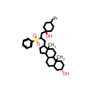 CC(C)C1CCC(O)(CC(CC2CCC3C4CCC5C[C@@H](O)CCC5(C)C4CCC23C)S(=O)(=O)c2ccccc2)CC1